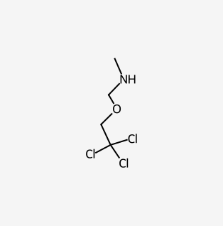 CNCOCC(Cl)(Cl)Cl